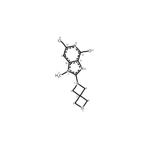 Cn1c(N2CC3(COC3)C2)nc2c(Cl)nc(Cl)cc21